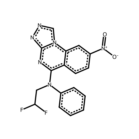 O=[N+]([O-])c1ccc2c(N(CC(F)F)c3ccccc3)nc3nncn3c2c1